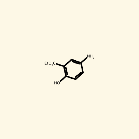 CCOC(=O)c1cc(N)ccc1O